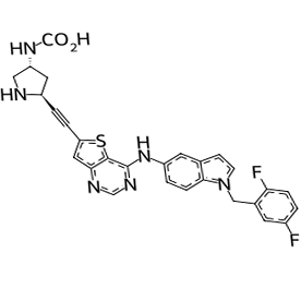 O=C(O)N[C@H]1CN[C@H](C#Cc2cc3ncnc(Nc4ccc5c(ccn5Cc5cc(F)ccc5F)c4)c3s2)C1